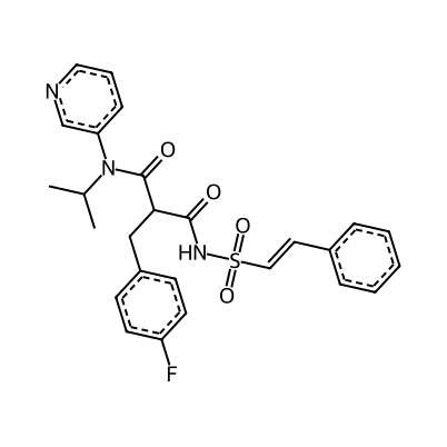 CC(C)N(C(=O)C(Cc1ccc(F)cc1)C(=O)NS(=O)(=O)C=Cc1ccccc1)c1cccnc1